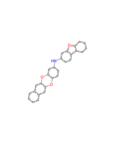 c1ccc2cc3c(cc2c1)Oc1ccc(Nc2ccc4c(c2)oc2ccccc24)cc1O3